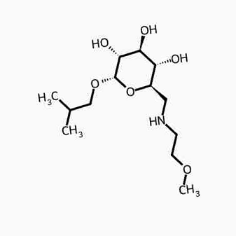 COCCNC[C@H]1O[C@H](OCC(C)C)[C@H](O)[C@@H](O)[C@@H]1O